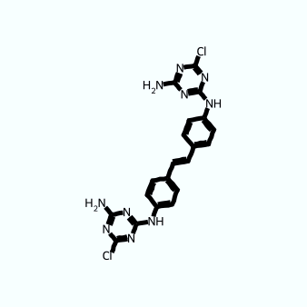 Nc1nc(Cl)nc(Nc2ccc(C=Cc3ccc(Nc4nc(N)nc(Cl)n4)cc3)cc2)n1